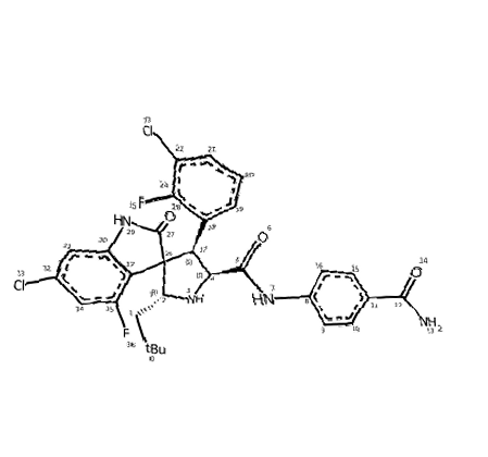 CC(C)(C)C[C@H]1N[C@H](C(=O)Nc2ccc(C(N)=O)cc2)[C@H](c2cccc(Cl)c2F)C12C(=O)Nc1cc(Cl)cc(F)c12